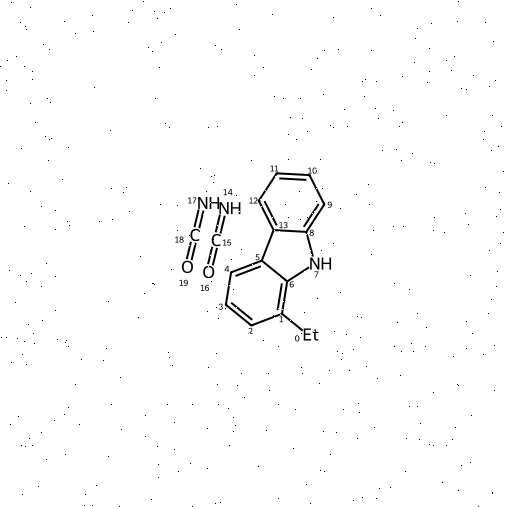 CCc1cccc2c1[nH]c1ccccc12.N=C=O.N=C=O